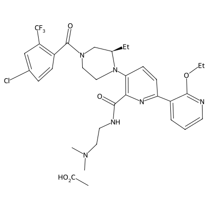 CC(=O)O.CCOc1ncccc1-c1ccc(N2CCN(C(=O)c3ccc(Cl)cc3C(F)(F)F)C[C@H]2CC)c(C(=O)NCCN(C)C)n1